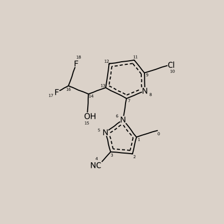 Cc1cc(C#N)nn1-c1nc(Cl)ccc1C(O)C(F)F